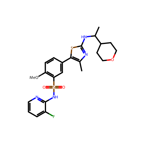 COc1ccc(-c2sc(NC(C)C3CCOCC3)nc2C)cc1S(=O)(=O)Nc1ncccc1F